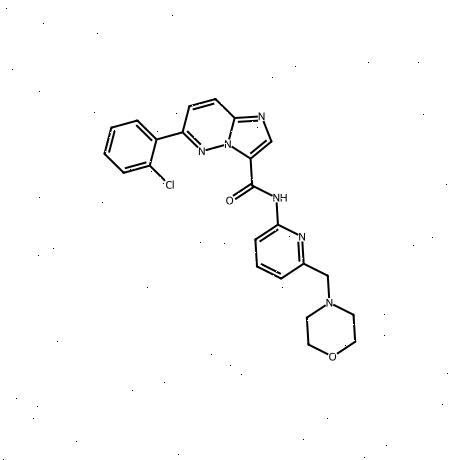 O=C(Nc1cccc(CN2CCOCC2)n1)c1cnc2ccc(-c3ccccc3Cl)nn12